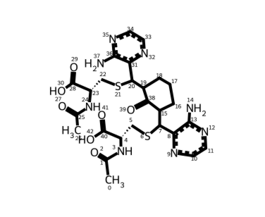 CC(=O)N[C@@H](CSC(c1nccnc1N)C1CCCC(C(SC[C@H](NC(C)=O)C(=O)O)c2nccnc2N)C1=O)C(=O)O